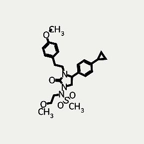 COCCN(N1CC(c2ccc(C3CC3)cc2)N(CCc2ccc(OC)cc2)C1=O)S(C)(=O)=O